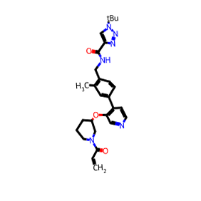 C=CC(=O)N1CCCC(Oc2cnccc2-c2ccc(CNC(=O)c3cn(C(C)(C)C)nn3)c(C)c2)C1